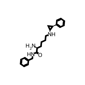 N[C@@H](CCCCN[C@@H]1C[C@H]1c1ccccc1)C(=O)NCc1ccccc1